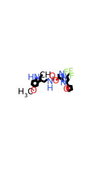 COc1ccc2[nH]c(C)c(CCNC(=O)Oc3cnn4c(C(F)(F)F)cc(-c5ccco5)nc34)c2c1